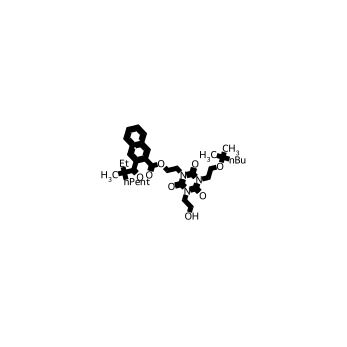 CCCCCC(C)(CC)C(=O)c1cc2ccccc2cc1C(=O)OCCn1c(=O)n(CCO)c(=O)n(CCOC(C)(C)CCCC)c1=O